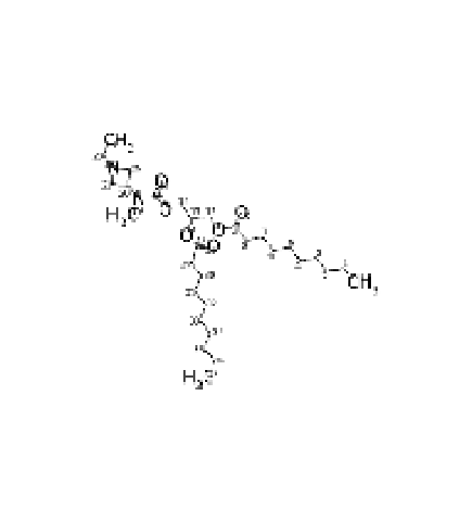 CCCCCCCCCC(=O)OCC(COC(=O)N(C)C1CN(CC)C1)OC(=O)CCCCCCCCC